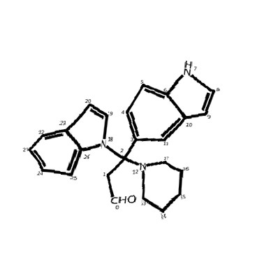 O=CCC(c1ccc2[nH]ccc2c1)(N1CCCCC1)n1ccc2ccccc21